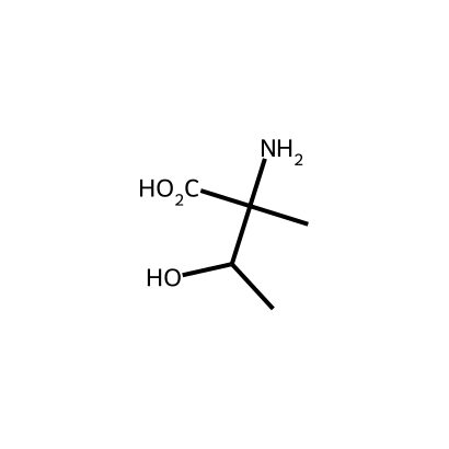 CC(O)C(C)(N)C(=O)O